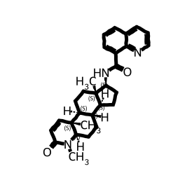 CN1C(=O)C=C[C@]2(C)[C@H]3CC[C@]4(C)[C@@H](NC(=O)c5cccc6cccnc56)CC[C@H]4[C@@H]3CC[C@@H]12